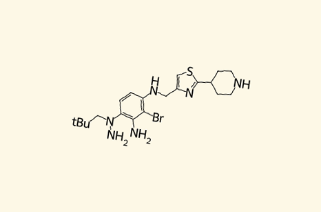 CC(C)(C)CN(N)c1ccc(NCc2csc(C3CCNCC3)n2)c(Br)c1N